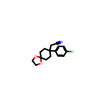 N#CCC1(c2ccc(Cl)cc2)CCC2(CC1)OCCO2